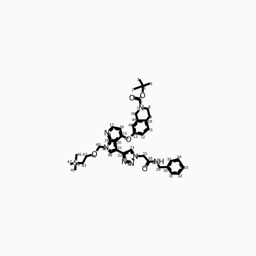 CC(C)(C)OC(=O)N1CCc2ccc(Oc3ccnc4c3c(-c3cn(CC(=O)NCc5ccccc5)nn3)cn4COCCS(C)(C)C)cc2C1